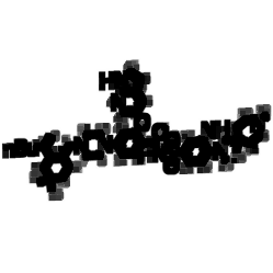 C=C(CCCC)C1=C(CN2CCN(c3ccc(C(=O)NS(=O)(=O)c4ccc(N(C)CC5(C)CCN(C)CC5)c(N)c4)c(Oc4cnc5[nH]ccc5c4)c3)CC2)CCC(C)(C)C1